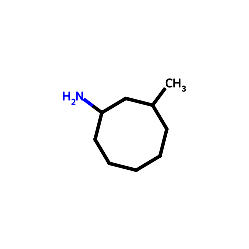 CC1CCCCCC(N)C1